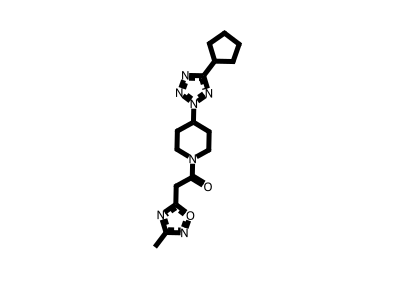 Cc1noc(CC(=O)N2CCC(n3nnc(C4CCCC4)n3)CC2)n1